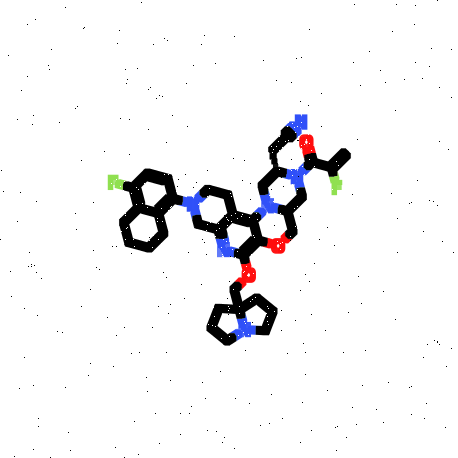 C=C(F)C(=O)N1CC2COc3c(OCC45CCCN4CCC5)nc4c(c3N2C[C@@H]1CC#N)CCN(c1ccc(F)c2c1CCCC2)C4